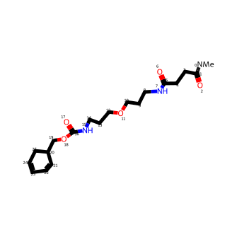 CNC(=O)CCC(=O)NCCCOCCCNC(=O)OCC1C=CC=CC1